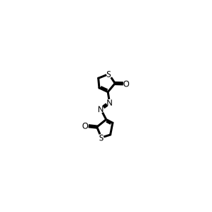 O=C1SCC=C1N=NC1=CCSC1=O